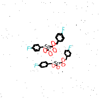 O=[C](OCc1ccc(F)cc1)[Sn][C](=O)OCc1ccc(F)cc1.O=[C](OCc1ccc(F)cc1)[Sn][C](=O)OCc1ccc(F)cc1